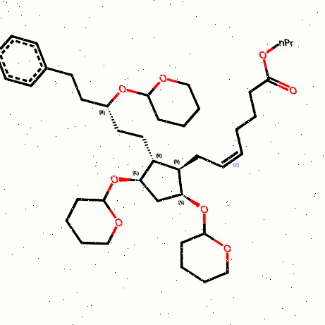 CCCOC(=O)CCC/C=C\C[C@@H]1[C@@H](CC[C@H](CCc2ccccc2)OC2CCCCO2)[C@H](OC2CCCCO2)C[C@@H]1OC1CCCCO1